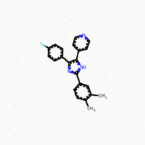 Cc1ccc(-c2nc(-c3ccc(F)cc3)c(-c3ccncc3)[nH]2)cc1C